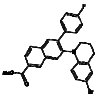 COC(=O)c1ccc2cc(-c3ccc(F)cc3)c(N3CCCc4cc(Br)ccc43)cc2c1